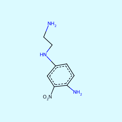 NCCNc1ccc(N)c([N+](=O)[O-])c1